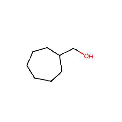 OC[C]1CCCCCC1